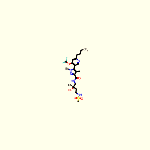 CCn1nc(C(=O)NC[C@](O)(CC)CCNS(C)(=O)=O)c(C)c1-c1cnc(CCCC(F)(F)F)cc1OC(F)F